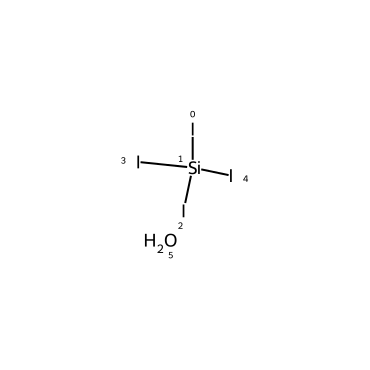 I[Si](I)(I)I.O